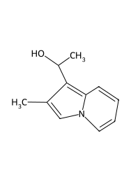 Cc1cn2ccccc2c1C(C)O